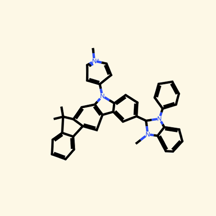 CN1c2ccccc2N(c2ccccc2)C1c1ccc2c(c1)c1cc3c(cc1n2-c1cc[n+](C)cc1)C(C)(C)c1ccccc1-3